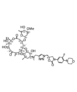 CC[C@H]1OC(=O)[C@H](C)[C@@H](O[C@H]2C[C@@](C)(OC)[C@@H](O)[C@H](C)O2)[C@H](C)[C@@H](O[C@@H]2O[C@H](C)C[C@H](N(C)Cc3cn(C[C@H]4CN(c5ccc(N6CCOCC6)c(F)c5)C(=O)O4)nn3)[C@H]2O)[C@](C)(O)C[C@@H](C)C(=O)[C@H](C)[C@@H](O)[C@]1(C)O